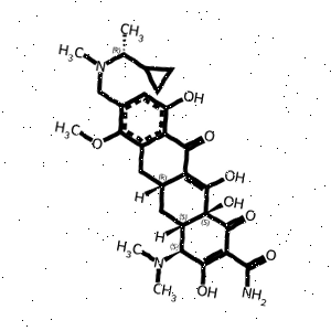 COc1c(CN(C)[C@H](C)C2CC2)cc(O)c2c1C[C@H]1C[C@H]3[C@H](N(C)C)C(O)=C(C(N)=O)C(=O)[C@@]3(O)C(O)=C1C2=O